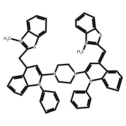 C[n+]1c(/C=C2\C=C(N3CCN(C4=CC(Cc5sc6ccccc6[n+]5C)c5ccccc5N4c4ccccc4)CC3)N(c3ccccc3)c3ccccc32)sc2ccccc21